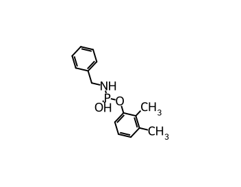 Cc1cccc(O[PH](=O)NCc2ccccc2)c1C